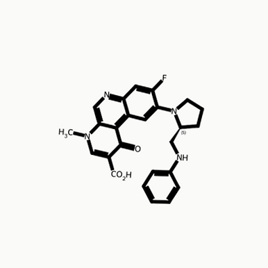 Cn1cc(C(=O)O)c(=O)c2c3cc(N4CCC[C@H]4CNc4ccccc4)c(F)cc3ncc21